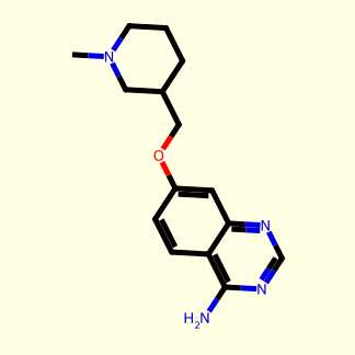 CN1CCCC(COc2ccc3c(N)ncnc3c2)C1